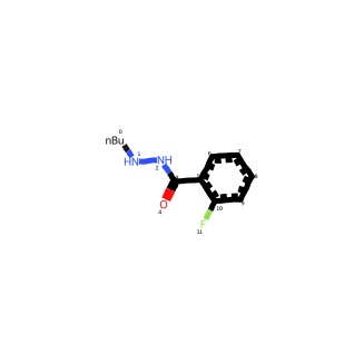 CCCCNNC(=O)c1ccccc1F